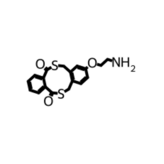 NCCOc1ccc2c(c1)CSC(=O)c1ccccc1C(=O)SC2